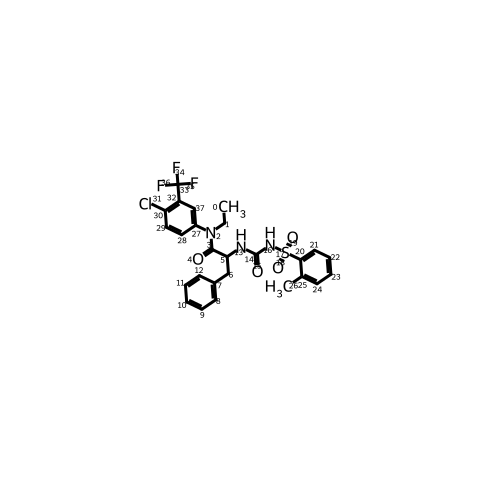 CCN(C(=O)C(Cc1ccccc1)NC(=O)NS(=O)(=O)c1ccccc1C)c1ccc(Cl)c(C(F)(F)F)c1